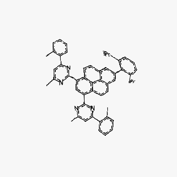 Cc1cc(-c2ccccc2C)nc(-c2cc(-c3nc(C)cc(-c4ccccc4C)n3)c3ccc4cc(-c5c(C(C)C)cccc5C(C)C)cc5ccc2c3c54)n1